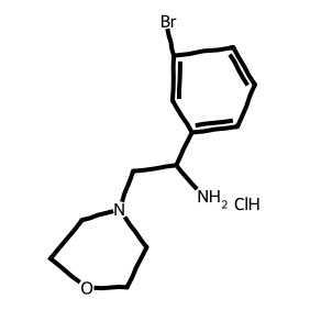 Cl.NC(CN1CCOCC1)c1cccc(Br)c1